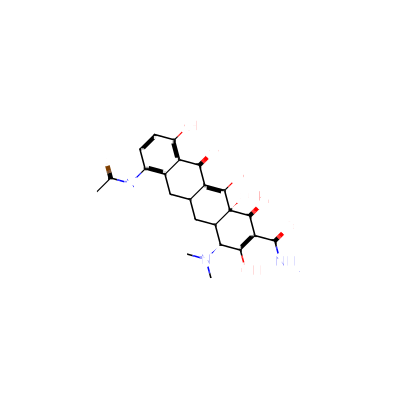 CC(=S)Nc1ccc(O)c2c1CC1CC3[C@H](N(C)C)C(O)=C(C(N)=O)C(=O)[C@@]3(O)C(O)=C1C2=O